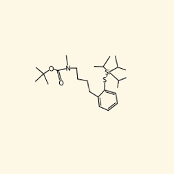 CC(C)[Si](Sc1ccccc1CCCCN(C)C(=O)OC(C)(C)C)(C(C)C)C(C)C